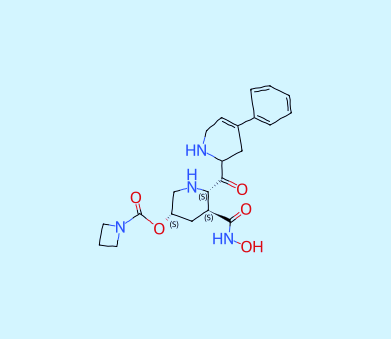 O=C(NO)[C@H]1C[C@H](OC(=O)N2CCC2)CN[C@@H]1C(=O)C1CC(c2ccccc2)=CCN1